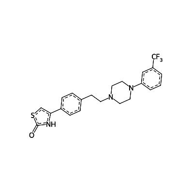 O=c1[nH]c(-c2ccc(CCN3CCN(c4cccc(C(F)(F)F)c4)CC3)cc2)cs1